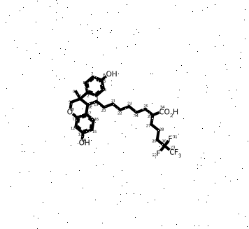 CC1(c2ccc(O)cc2)COc2cc(O)ccc2C1CCCCCCCC(CCCC(F)(F)C(F)(F)F)C(=O)O